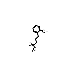 COC(=O)CCCc1ccccc1O